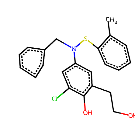 Cc1ccccc1SN(Cc1ccccc1)c1cc(Cl)c(O)c(CCO)c1